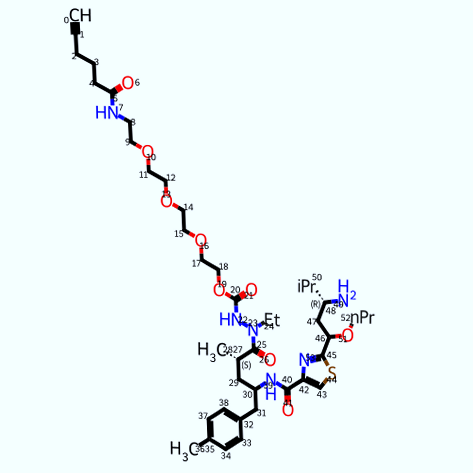 C#CCCCC(=O)NCCOCCOCCOCCOC(=O)NN(CC)C(=O)[C@@H](C)CC(Cc1ccc(C)cc1)NC(=O)c1csc(C(C[C@@H](N)C(C)C)OCCC)n1